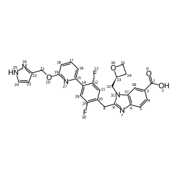 O=C(O)c1ccc2nc(Cc3cc(F)c(-c4cccc(OCc5cc[nH]n5)n4)cc3F)n(C[C@@H]3CCO3)c2c1